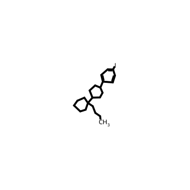 CCCCC1(C2CCC(c3ccc(I)cc3)CC2)CCCCC1